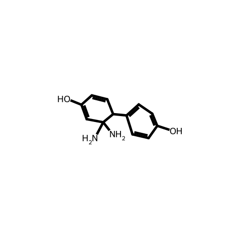 NC1(N)C=C(O)C=CC1c1ccc(O)cc1